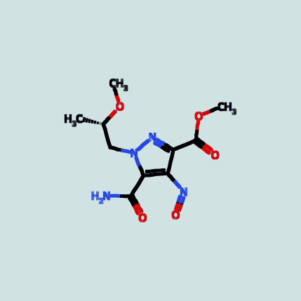 COC(=O)c1nn(C[C@H](C)OC)c(C(N)=O)c1N=O